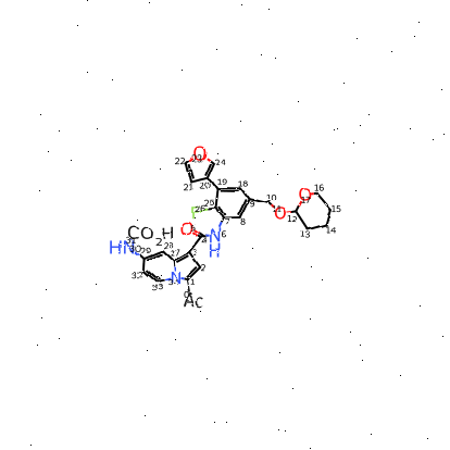 CC(=O)c1cc(C(=O)Nc2cc(COC3CCCCO3)cc(-c3ccoc3)c2F)c2cc(NC(=O)O)ccn12